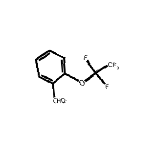 O=[C]c1ccccc1OC(F)(F)C(F)(F)F